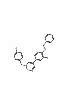 Fc1cc(C2=CN(Cc3ccc(Cl)cc3)CN=C2)ccc1OCc1ccccc1